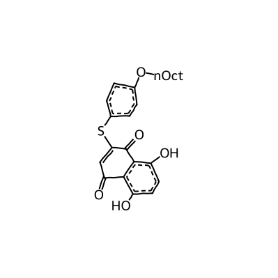 CCCCCCCCOc1ccc(SC2=CC(=O)c3c(O)ccc(O)c3C2=O)cc1